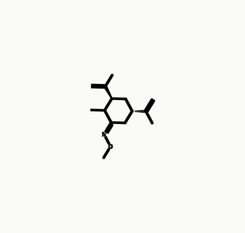 C=C(C)[C@@H]1CC(=NOC)C(C)[C@@H](C(=C)C)C1